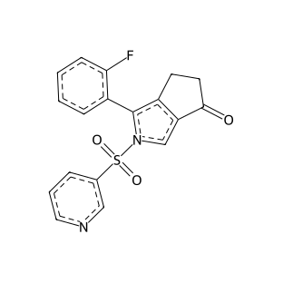 O=C1CCc2c1cn(S(=O)(=O)c1cccnc1)c2-c1ccccc1F